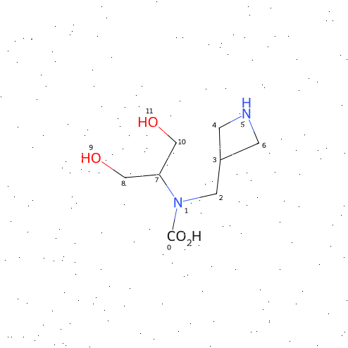 O=C(O)N(CC1CNC1)C(CO)CO